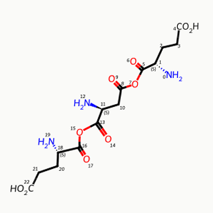 N[C@@H](CCC(=O)O)C(=O)OC(=O)C[C@H](N)C(=O)OC(=O)[C@@H](N)CCC(=O)O